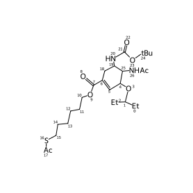 CCC(CC)OC1C=C(C(=O)OCCCCCCSC(C)=O)CC(NC(=O)OC(C)(C)C)C1NC(C)=O